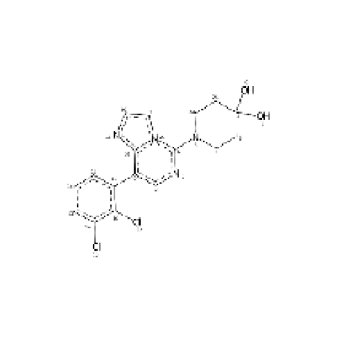 OC1(O)CCN(c2ncc(-c3cccc(Cl)c3Cl)c3nccn23)CC1